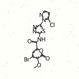 COc1c(Br)cc(C(=O)Nc2nnc(-n3nccc3Cl)s2)oc1=O